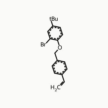 C=Cc1ccc(COc2ccc(C(C)(C)C)cc2Br)cc1